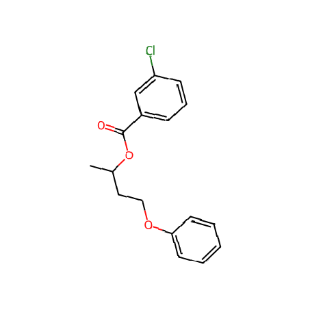 CC(CCOc1ccccc1)OC(=O)c1cccc(Cl)c1